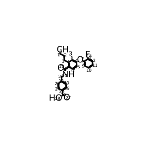 CCCCc1cc(Oc2ccccc2F)ccc1C(=O)NCc1ccc(C(=O)O)cc1